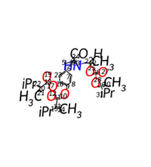 CC(CN[C@@H](Cc1ccc(OC(=O)C(C)C(C)C)c(OC(=O)C(C)C(C)C)c1)C(=O)O)OC(=O)OC(C)C(C)C